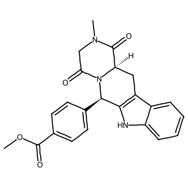 COC(=O)c1ccc([C@@H]2c3[nH]c4ccccc4c3C[C@@H]3C(=O)N(C)CC(=O)N23)cc1